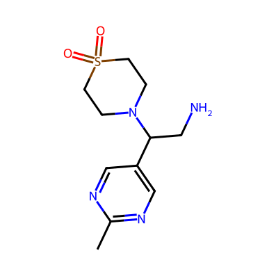 Cc1ncc(C(CN)N2CCS(=O)(=O)CC2)cn1